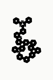 c1ccc(-c2ccc(-c3cccc4c3sc3c(-c5cccc(-c6nc(-c7ccccc7)nc(-c7ccccc7)n6)c5)cccc34)c(-c3ccc4c(c3)c3ccccc3n4-c3cccc(-c4cccc(-c5ccc6c7ccccc7c7ccccc7c6c5)c4)c3)c2)cc1